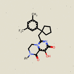 Cc1cc(C(F)(F)F)cc(C2(Cc3nc(=O)c(O)c4n3CCN(C(C)C)C4=O)CCCC2)c1